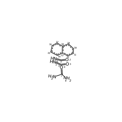 N=C=O.N=C=O.NC(N)=O.c1ccc2ccccc2c1